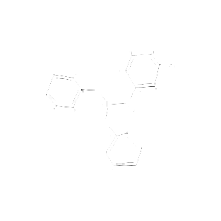 [Au].c1ccc(OP(Oc2ccccc2)Oc2ccccc2)cc1